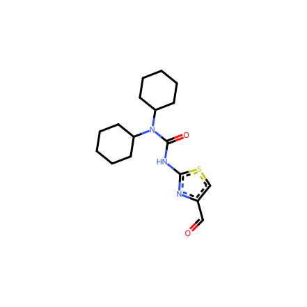 O=Cc1csc(NC(=O)N(C2CCCCC2)C2CCCCC2)n1